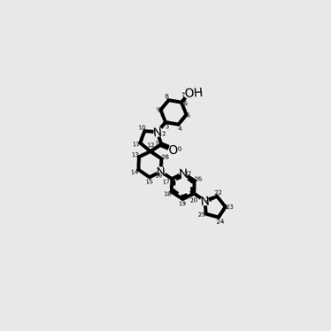 O=C1N(C2CCC(O)CC2)CCC12CCCN(c1ccc(N3CCCC3)cn1)C2